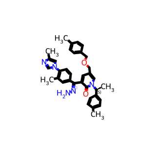 Cc1ccc(COCc2cc(/C(=N/N)c3ccc(-n4cnc(C)c4)c(C)c3)c(=O)n([C@@H](C)c3ccc(C)cc3)c2)cc1